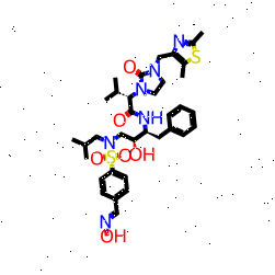 Cc1nc(CN2CCN([C@H](C(=O)N[C@@H](Cc3ccccc3)[C@@H](O)CN(CC(C)C)S(=O)(=O)c3ccc(C=NO)cc3)C(C)C)C2=O)c(C)s1